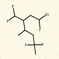 CCC(F)CC(C(F)F)C(C)CC(C)(F)F